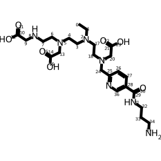 CCN(CCN(CCNCC(=O)O)CC(=O)O)CCN(CC(=O)O)Cc1ccc(C(=O)NCCCN)cn1